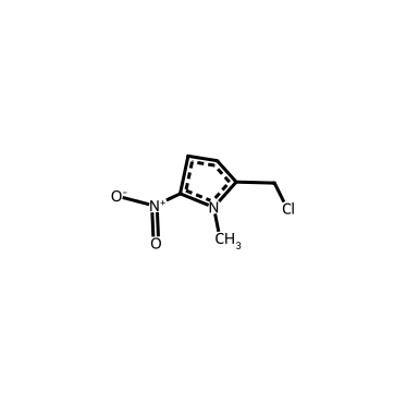 Cn1c(CCl)ccc1[N+](=O)[O-]